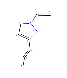 C=CN1CC=C(/C=C/C)N1